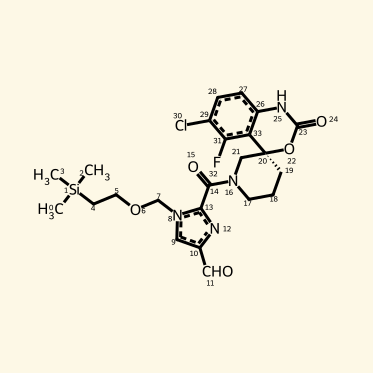 C[Si](C)(C)CCOCn1cc(C=O)nc1C(=O)N1CCC[C@@]2(C1)OC(=O)Nc1ccc(Cl)c(F)c12